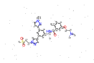 CCn1ccc(-c2cc(-c3cnn(CCS(C)(=O)=O)c3)cc([C@@H](C)NC(=O)c3cc(OCCN(C)C)ccc3C)c2)n1